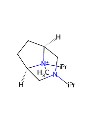 CC(C)N1C[C@H]2CC[C@@H](C1)[N+]2(C)C(C)C